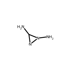 NC1[N]N1N